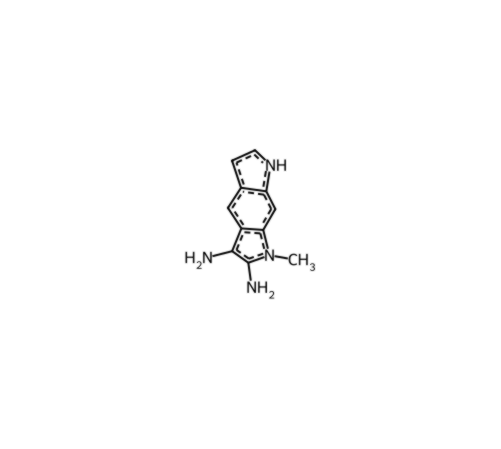 Cn1c(N)c(N)c2cc3cc[nH]c3cc21